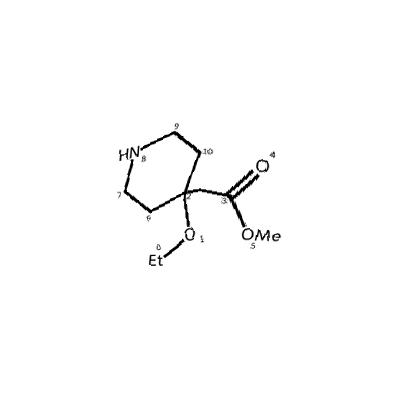 CCOC1(C(=O)OC)CCNCC1